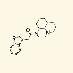 CN1CCCC2CCCC(N(C)C(=O)Cc3csc4ccccc34)C21